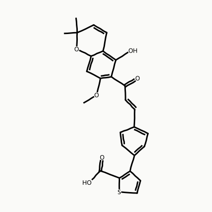 COc1cc2c(c(O)c1C(=O)/C=C/c1ccc(-c3ccsc3C(=O)O)cc1)C=CC(C)(C)O2